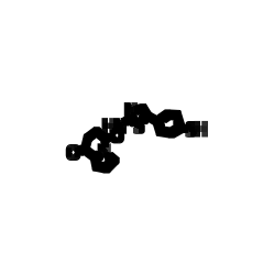 O=C1CCC(ONc2ncc(-c3ccc(S)cc3)s2)n2cccc21